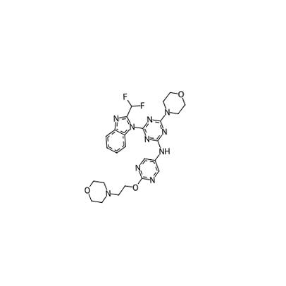 FC(F)c1nc2ccccc2n1-c1nc(Nc2cnc(OCCN3CCOCC3)nc2)nc(N2CCOCC2)n1